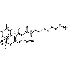 CCCCCc1cc2c(c(C)c1C(=O)NCCOCCCCN)[C@]1(C)C=C(C)CC[C@H]1C(C)(C)C2